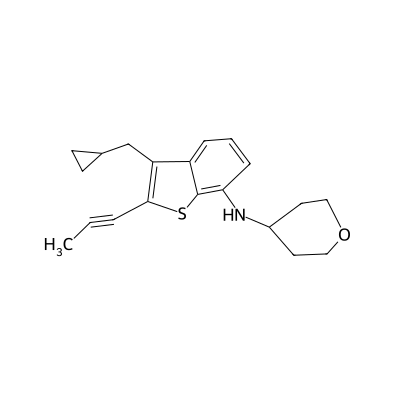 CC#Cc1sc2c(NC3CCOCC3)cccc2c1CC1CC1